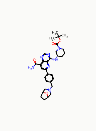 CC(C)(C)OC(=O)N1CCC[C@H](Nc2ncnc3c(C(N)=O)cc(-c4ccc(CN5CC6CCC(C5)O6)cc4)nc23)C1